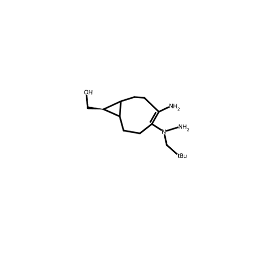 CC(C)(C)CN(N)/C1=C(\N)CCC2C(CC1)[C@H]2CO